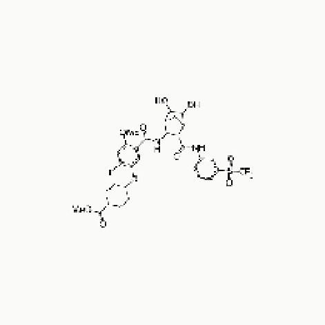 COC(=O)C1CCC(Oc2cc(C(=O)NC3C4CC(C(O)C4O)C3C(=O)Nc3cccc(S(=O)(=O)C(F)(F)F)c3)c(OC)cc2F)CC1